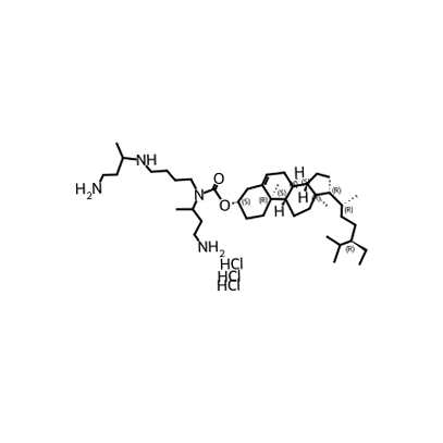 CC[C@H](CC[C@@H](C)[C@H]1CC[C@H]2[C@@H]3CC=C4C[C@@H](OC(=O)N(CCCCNC(C)CCN)C(C)CCN)CC[C@]4(C)[C@H]3CC[C@]12C)C(C)C.Cl.Cl.Cl